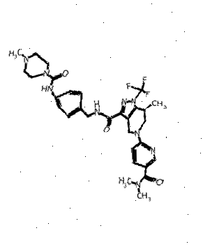 C[C@H]1CN(c2ccc(C(=O)N(C)C)cn2)Cc2c(C(=O)NCc3ccc(NC(=O)N4CCN(C)CC4)cc3)nn(C(F)(F)F)c21